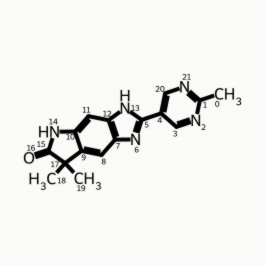 Cc1ncc(-c2nc3cc4c(cc3[nH]2)NC(=O)C4(C)C)cn1